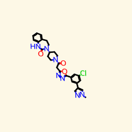 Cn1cc(-c2cc(Cl)cc(-c3nnc(CC(=O)N4CCC(N5CCc6ccccc6NC5=O)CC4)o3)c2)cn1